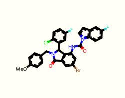 COc1ccc(CN2C(=O)c3cc(Br)cc(NC(=O)n4ccc5cc(F)ccc54)c3C2c2cc(F)ccc2Cl)cc1